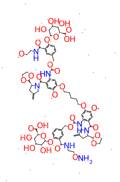 C=C1CC(C2OCCO2)N(C(=O)c2cc(OC)c(OCCCCCOc3cc(NC(=O)OCc4ccc(O[C@@H]5O[C@H](C(=O)O)[C@@H](O)[C@H](O)[C@H]5O)c(C(=O)NCCOC)c4)c(C(=O)N4CC(=C)C[C@H]4C4OCCO4)cc3OC)cc2NC(=O)OCc2ccc(O[C@@H]3O[C@H](C(=O)O)[C@@H](O)[C@H](O)[C@H]3O)c(C(=O)NCCON)c2)C1